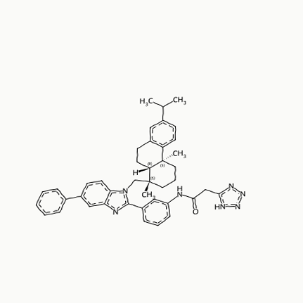 CC(C)c1ccc2c(c1)CC[C@H]1[C@@](C)(Cn3c(-c4cccc(NC(=O)Cc5nnn[nH]5)c4)nc4cc(-c5ccccc5)ccc43)CCC[C@]21C